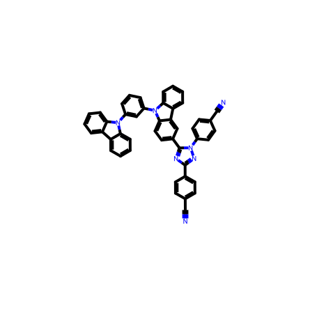 N#Cc1ccc(-c2nc(-c3ccc4c(c3)c3ccccc3n4-c3cccc(-n4c5ccccc5c5ccccc54)c3)n(-c3ccc(C#N)cc3)n2)cc1